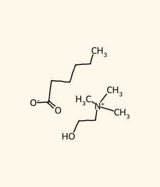 CCCCCC(=O)[O-].C[N+](C)(C)CCO